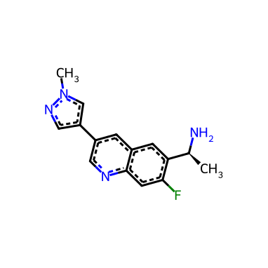 C[C@H](N)c1cc2cc(-c3cnn(C)c3)cnc2cc1F